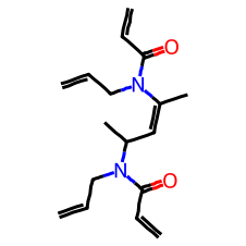 C=CCN(C(=O)C=C)/C(C)=C\C(C)N(CC=C)C(=O)C=C